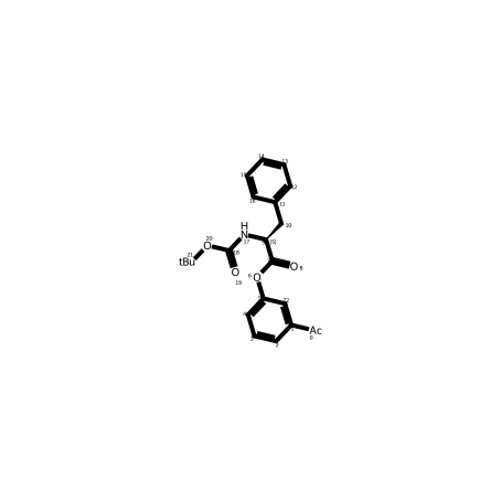 [CH2]C(=O)c1cccc(OC(=O)[C@H](Cc2ccccc2)NC(=O)OC(C)(C)C)c1